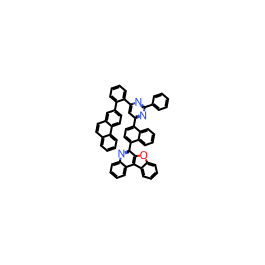 c1ccc(-c2nc(-c3ccccc3-c3ccc4c(ccc5ccccc54)c3)cc(-c3ccc(-c4nc5ccccc5c5c4oc4ccccc45)c4ccccc34)n2)cc1